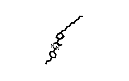 CCCCCCCCCCc1ccc(-c2cnc(C3CCC(CCC)CC3)nc2C)cc1